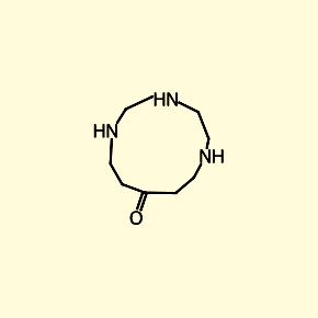 O=C1CCNCCNCCNCC1